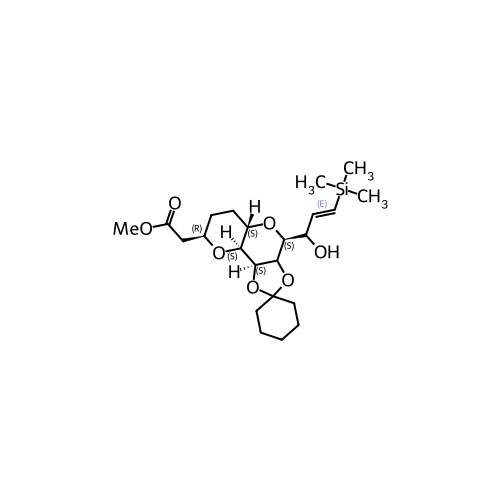 COC(=O)C[C@H]1CC[C@@H]2O[C@@H](C(O)/C=C/[Si](C)(C)C)C3OC4(CCCCC4)O[C@H]3[C@H]2O1